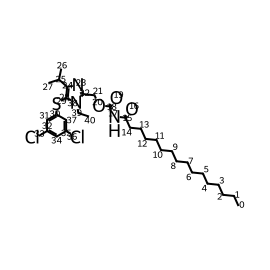 CCCCCCCCCCCCCCCC(=O)NC(=O)OCc1nc(C(C)C)c(Sc2cc(Cl)cc(Cl)c2)n1CC